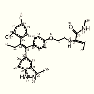 C/C=C(\NCCOc1ccc(/C(=C(/CC)c2ccc(F)cc2Cl)c2ccc3[nH]nc(F)c3c2)cc1)C(=O)NC